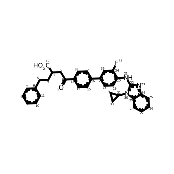 O=C(CC(CCc1ccccc1)C(=O)O)c1ccc(-c2ccc(Nc3nc4ccccc4n3C3CC3)c(F)c2)cc1